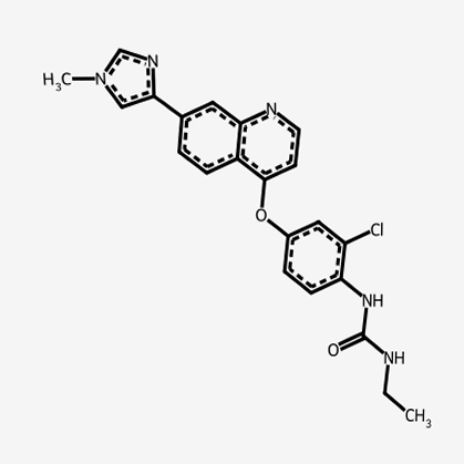 CCNC(=O)Nc1ccc(Oc2ccnc3cc(-c4cn(C)cn4)ccc23)cc1Cl